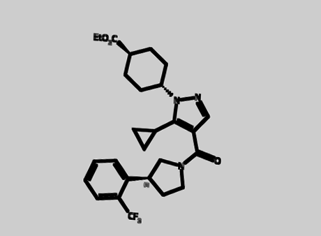 CCOC(=O)[C@H]1CC[C@H](n2ncc(C(=O)N3CC[C@@H](c4ccccc4C(F)(F)F)C3)c2C2CC2)CC1